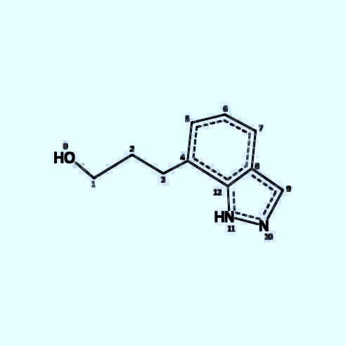 OCCCc1cccc2cn[nH]c12